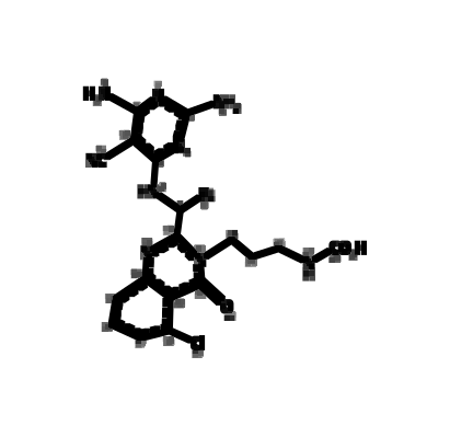 CCC(Nc1nc(N)nc(N)c1C#N)c1nc2cccc(Cl)c2c(=O)n1CCCNC(=O)O